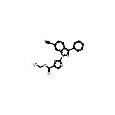 CCOC(=O)c1csc(-n2nc(-c3ccccc3)c3ccc(C#N)cc32)n1